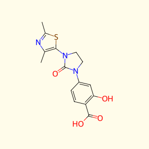 Cc1nc(C)c(N2CCN(c3ccc(C(=O)O)c(O)c3)C2=O)s1